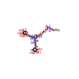 CNCC(=O)N(C)C(=O)CCOCCOCCNC(=O)CN(CC(=O)NCCO[C@@H]1O[C@@H](C)[C@@H](O)[C@@H](O)[C@@H]1O)CC(=O)NCCO[C@@H]1C[C@@H](C)[C@@H](O)[C@@H](O)[C@@H]1O